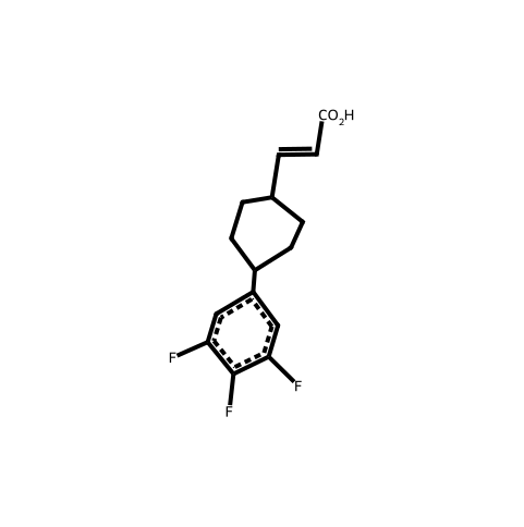 O=C(O)C=CC1CCC(c2cc(F)c(F)c(F)c2)CC1